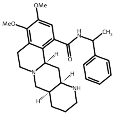 COc1cc(C(=O)NC(C)c2ccccc2)c2c(c1OC)CCN1C[C@@H]3CCCN[C@@H]3C[C@H]21